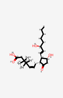 [2H]C([2H])(/C=C\C[C@H]1C(=O)C[C@@H](O)[C@@H]1/C=C/[C@@H](O)CCCCC)C([2H])([2H])CC(=O)O